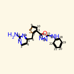 Nc1nccc(Cc2sccc2-c2nnc(Nc3ccccc3)o2)n1